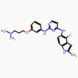 Cc1cc2c(F)c(Nc3ccnc(Nc4cccc(OCCCN(C)C)c4)n3)ccc2[nH]1